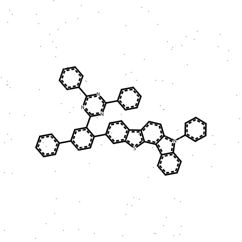 c1ccc(-c2ccc(-c3ccc4c(c3)sc3c4ccc4c3c3ccccc3n4-c3ccccc3)c(-c3nc(-c4ccccc4)nc(-c4ccccc4)n3)c2)cc1